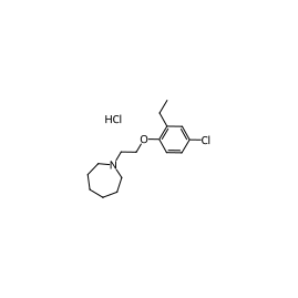 CCc1cc(Cl)ccc1OCCN1CCCCCC1.Cl